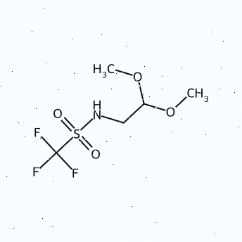 COC(CNS(=O)(=O)C(F)(F)F)OC